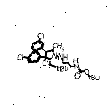 C[C@@H]1[C@H](c2cccc(Cl)c2)[C@@](C#N)(c2ccc(Cl)cc2)[C@H](CC(C)(C)C)N1NCCCNC(=O)OC(C)(C)C